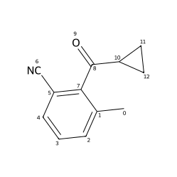 Cc1cccc(C#N)c1C(=O)C1CC1